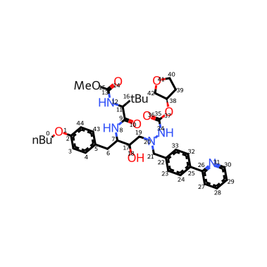 CCCCOc1ccc(CC(NC(=O)C(NC(=O)OC)C(C)(C)C)C(O)CN(Cc2ccc(-c3ccccn3)cc2)NC(=O)O[C@@H]2CCOC2)cc1